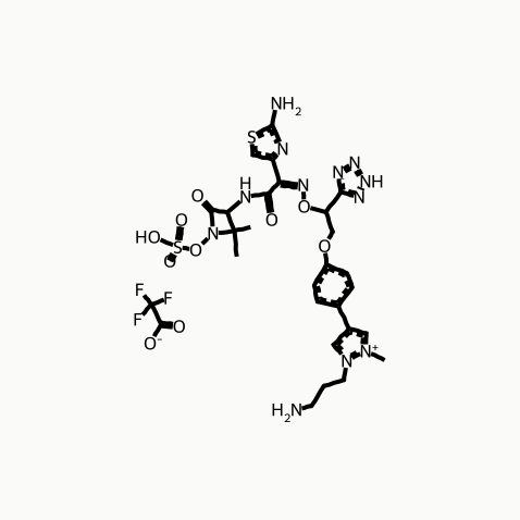 C[n+]1cc(-c2ccc(OCC(ON=C(C(=O)NC3C(=O)N(OS(=O)(=O)O)C3(C)C)c3csc(N)n3)c3nn[nH]n3)cc2)cn1CCCN.O=C([O-])C(F)(F)F